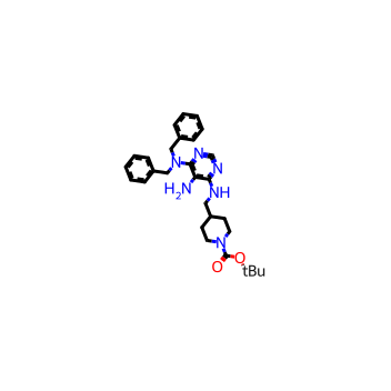 CC(C)(C)OC(=O)N1CCC(CNc2ncnc(N(Cc3ccccc3)Cc3ccccc3)c2N)CC1